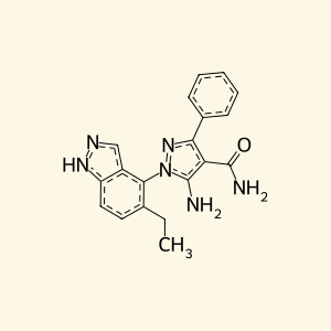 CCc1ccc2[nH]ncc2c1-n1nc(-c2ccccc2)c(C(N)=O)c1N